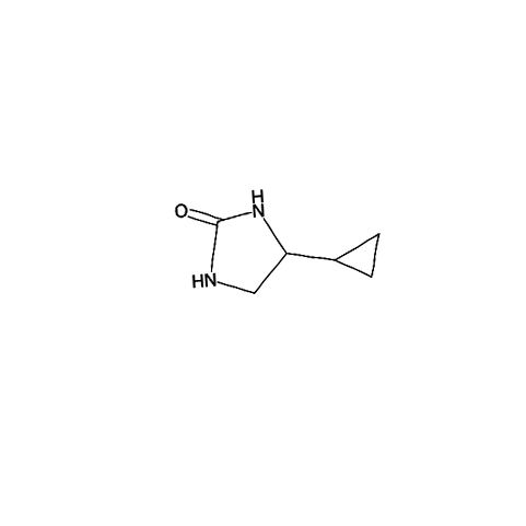 O=C1NCC(C2CC2)N1